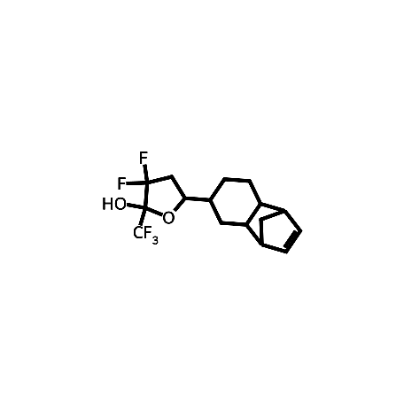 OC1(C(F)(F)F)OC(C2CCC3C4C=CC(C4)C3C2)CC1(F)F